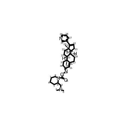 CN(C)CC1CCCCN1C(=O)ON=C1C=C2CC[C@H]3[C@H](CC[C@]4(C)C(c5cccnc5)=CC[C@@H]34)[C@@]2(C)CC1